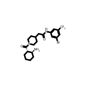 N[C@H]1CCCC[C@@H]1C(=O)N1CCC(CC(=O)Nc2cc(Br)cc(C(F)(F)F)c2)CC1